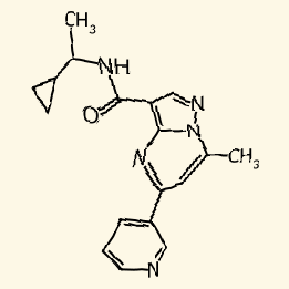 Cc1cc(-c2cccnc2)nc2c(C(=O)NC(C)C3CC3)cnn12